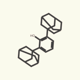 Oc1c(C23CC4CC(CC(C4)C2)C3)cccc1C12CC3CC(CC(C3)C1)C2